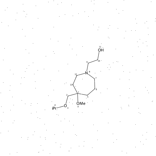 COC1(COC(C)C)CCCN(CCO)CC1